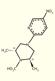 C[C@@H]1CN(c2ccc([N+](=O)[O-])cn2)C[C@@H](C)N1C(=O)O